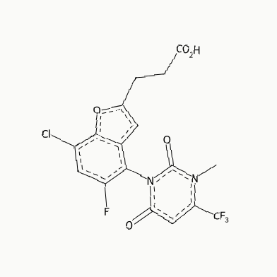 Cn1c(C(F)(F)F)cc(=O)n(-c2c(F)cc(Cl)c3oc(CCC(=O)O)cc23)c1=O